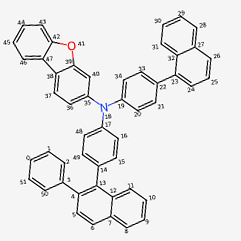 c1ccc(-c2ccc3ccccc3c2-c2ccc(N(c3ccc(-c4cccc5ccccc45)cc3)c3ccc4c(c3)oc3ccccc34)cc2)cc1